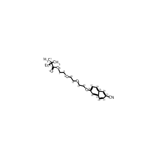 CCC(C)(C)C(=O)OCCOCCOCCOc1ccc2cc(C#N)ccc2c1